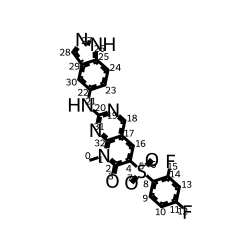 Cn1c(=O)c(S(=O)(=O)c2ccc(F)cc2F)cc2cnc(Nc3ccc4[nH]ncc4c3)nc21